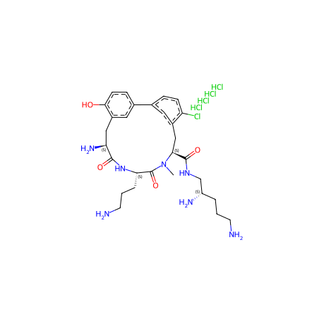 CN1C(=O)[C@H](CCCN)NC(=O)[C@@H](N)Cc2cc(ccc2O)-c2ccc(Cl)c(c2)C[C@H]1C(=O)NC[C@@H](N)CCCN.Cl.Cl.Cl.Cl